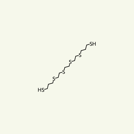 SCCCSCCSCCSCCSCCCS